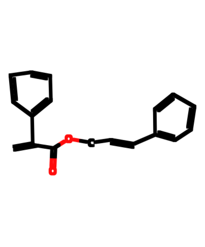 C=C(C(=O)OCC=Cc1ccccc1)c1ccccc1